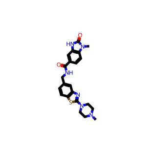 CN1CCN(c2nc3cc(CNC(=O)c4ccc5c(c4)[nH]c(=O)n5C)ccc3s2)CC1